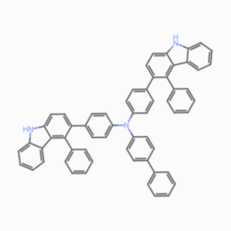 c1ccc(-c2ccc(N(c3ccc(-c4ccc5[nH]c6ccccc6c5c4-c4ccccc4)cc3)c3ccc(-c4ccc5[nH]c6ccccc6c5c4-c4ccccc4)cc3)cc2)cc1